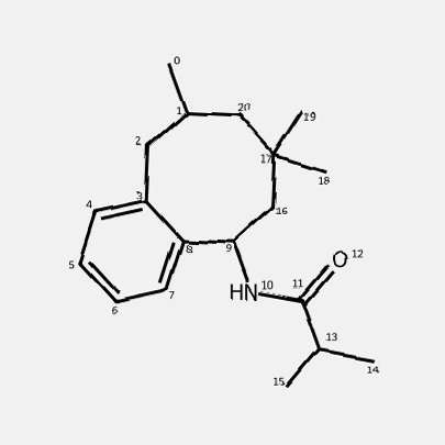 CC1Cc2ccccc2C(NC(=O)C(C)C)CC(C)(C)C1